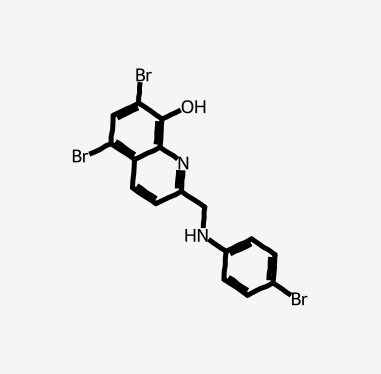 Oc1c(Br)cc(Br)c2ccc(CNc3ccc(Br)cc3)nc12